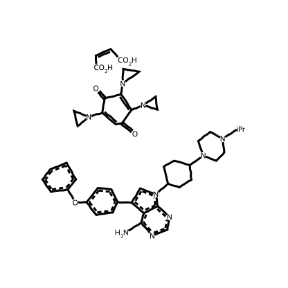 CC(C)N1CCN(C2CCC(n3cc(-c4ccc(Oc5ccccc5)cc4)c4c(N)ncnc43)CC2)CC1.O=C(O)/C=C\C(=O)O.O=C1C=C(N2CC2)C(=O)C(N2CC2)=C1N1CC1